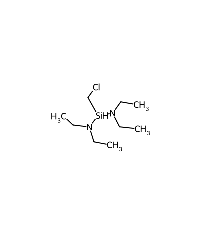 CCN(CC)[SiH](CCl)N(CC)CC